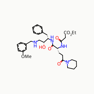 CCOC(=O)CC(=O)N[C@H](CCC(=O)N1CCCCC1)C(=O)N[C@@H](Cc1ccccc1)[C@H](O)CNCc1cccc(OC)c1